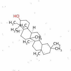 CC1(C)CCC2(C)CC[C@]3(C)C(=CC[C@@H]4C5(C)CCC(O)C(C)(C)[C@@H]5CCC43C)C2C1